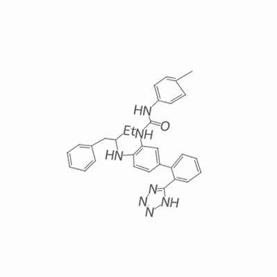 CCC(Cc1ccccc1)Nc1ccc(-c2ccccc2-c2nnn[nH]2)cc1NC(=O)Nc1ccc(C)cc1